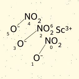 O=[N+]([O-])[O-].O=[N+]([O-])[O-].O=[N+]([O-])[O-].[Sc+3]